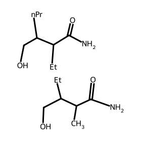 CCC(CO)C(C)C(N)=O.CCCC(CO)C(CC)C(N)=O